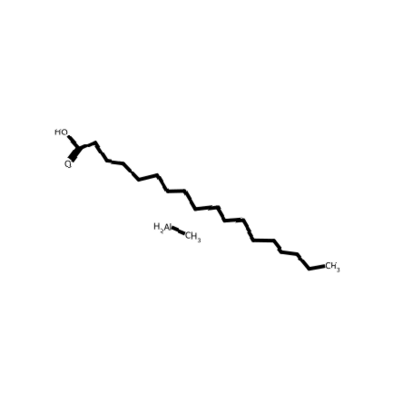 CCCCCCCCCCCCCCCCCC(=O)O.[CH3][AlH2]